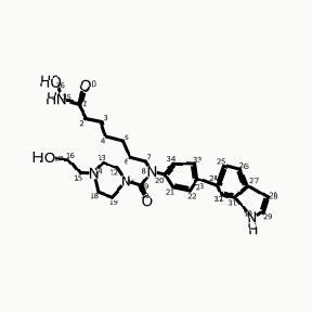 O=C(CCCCCCN(C(=O)N1CCN(CCO)CC1)c1ccc(-c2ccc3cc[nH]c3c2)cc1)NO